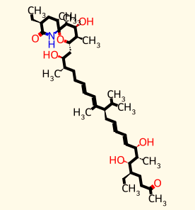 CC[C@H]1C[C@H](C)[C@@]2(NC1=O)O[C@@H](C[C@H](O)[C@@H](C)CC/C=C/C=C(\C)[C@H](C/C=C/C=C/[C@H](O)[C@H](C)[C@@H](O)[C@H](CC)CCC(C)=O)C(C)C)[C@H](C)[C@H](O)[C@@H]2C